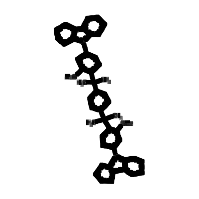 COc1cc(-n2c3ccccc3c3ccccc32)ccc1C(C)(C)c1ccc(C(C)(C)c2ccc(-n3c4ccccc4c4ccccc43)cc2OC)cc1